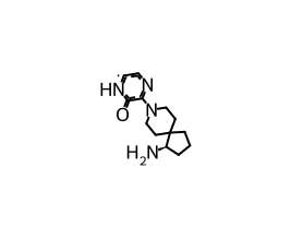 N[C@@H]1CCCC12CCN(c1nc[c][nH]c1=O)CC2